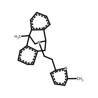 Cc1cccc(CCN2CC3(C)c4ccccc4CC2c2ccccc23)n1